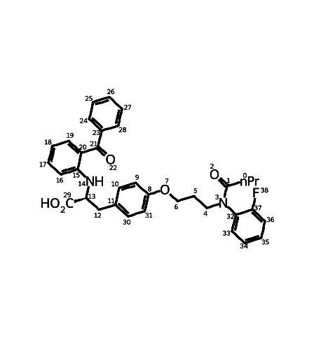 CCCC(=O)N(CCCOc1ccc(C[C@H](Nc2ccccc2C(=O)c2ccccc2)C(=O)O)cc1)c1ccccc1F